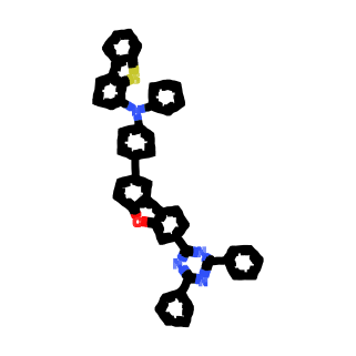 c1ccc(-c2nc(-c3ccccc3)nc(-c3ccc4c(c3)oc3ccc(-c5ccc(N(c6ccccc6)c6cccc7c6sc6ccccc67)cc5)cc34)n2)cc1